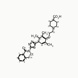 CCN(C(=O)c1ccccc1F)c1nnc(C2C=C(C)C(OCCN3CCC(C(=O)O)CC3)=C(C)C2C)s1